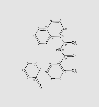 Cc1ccc(-n2ccccc2=O)cc1C(=O)N[C@H](C)c1cccc2ccccc12